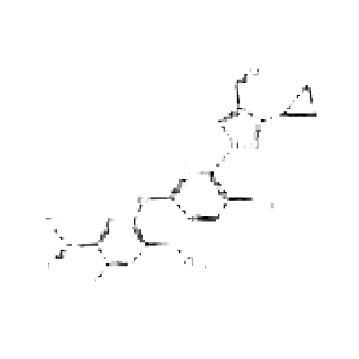 COc1cc(F)c([N+](=O)[O-])cc1Nc1ncc(C)c(-n2cc(C=O)c(C3CC3)n2)n1